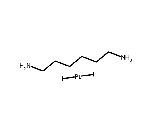 NCCCCCCN.[I][Pt][I]